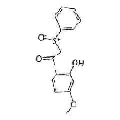 COc1ccc(C(=O)C[S+]([O-])c2ccccc2)c(O)c1